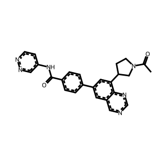 CC(=O)N1CCC(c2cc(-c3ccc(C(=O)Nc4ccnnc4)cc3)cc3cncnc23)C1